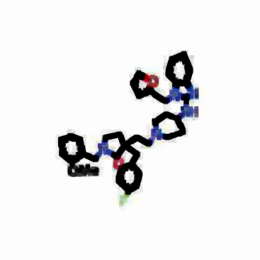 COc1ccccc1CN1CCC(CCN2CCC(Nc3nc4ccccc4n3Cc3ccco3)CC2)(Cc2ccc(F)cc2)C1=O